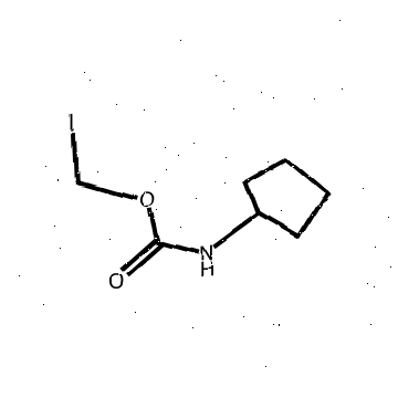 O=C(NC1CCCC1)OCI